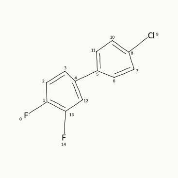 Fc1ccc(-c2ccc(Cl)cc2)cc1F